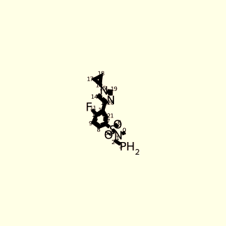 CN(CP)S(=O)(=O)c1ccc(F)c(-c2cn(C3CC3)cn2)c1